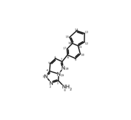 Nc1nnc2ccc(-c3ccc4ccccc4c3)nn12